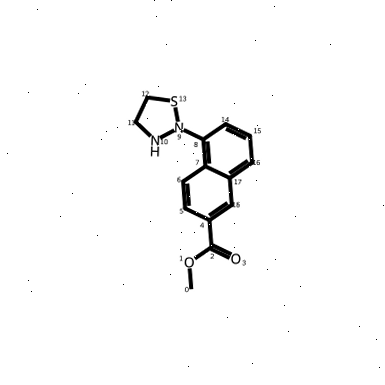 COC(=O)c1ccc2c(N3NCCS3)cccc2c1